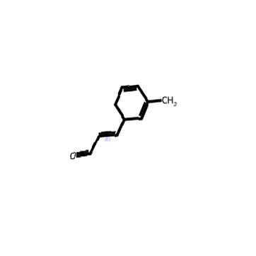 CC1=CC(/C=C/C=O)CC=C1